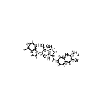 Cc1ncnc2c1ccn2[C@@H]1O[C@@H]2[C@H](Cc3ccc4cc(Br)c(N)nc4c3)CC[C@]2(O)C1O